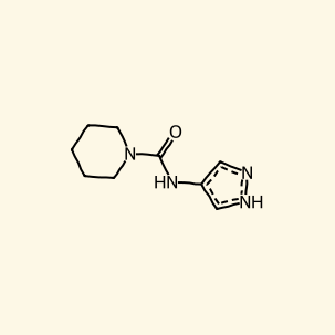 O=C(Nc1cn[nH]c1)N1CCCCC1